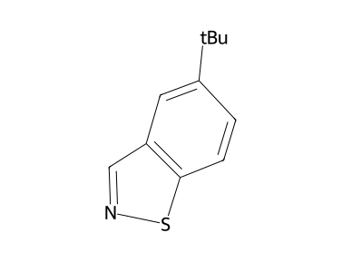 CC(C)(C)c1ccc2sncc2c1